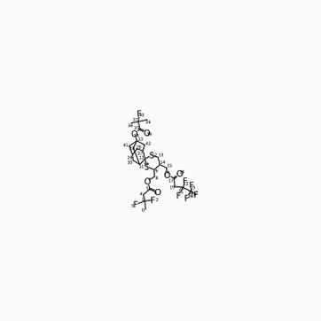 CC(F)(F)CC(=O)OCC1SC2(SCC1COC(=O)CC(F)(F)C(F)(F)F)C1CC3CC2CC(OC(=O)C(C)(C)F)(C3)C1